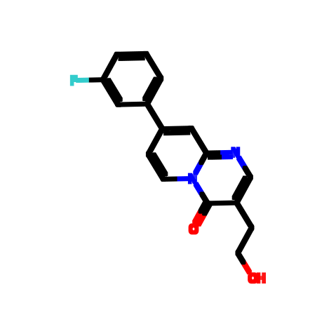 O=c1c(CCO)cnc2cc(-c3cccc(F)c3)ccn12